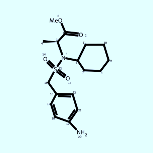 COC(=O)[C@H](C)N(C1CCCCC1)S(=O)(=O)Cc1ccc(N)cc1